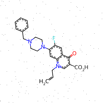 C=CCn1cc(C(=O)O)c(=O)c2cc(F)c(N3CCN(Cc4ccccc4)CC3)cc21